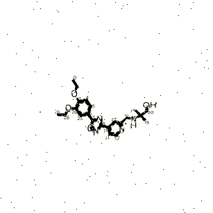 CCOc1ccc(-c2nc(-c3ccnc(CNC(C)(C)CO)c3)no2)cc1OCC